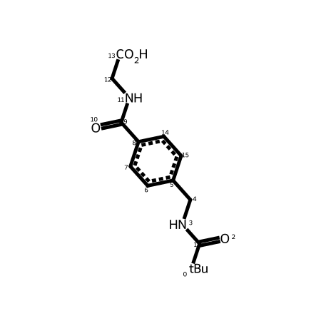 CC(C)(C)C(=O)NCc1ccc(C(=O)NCC(=O)O)cc1